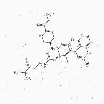 CCC(=O)N1CCN(c2nc(NCCC(=O)N(C)C)nc3c(F)c([C@@H]4C=C(O)Cc5ccccc54)c(Cl)cc23)CC1